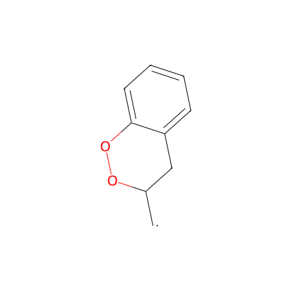 [CH2]C1Cc2ccccc2OO1